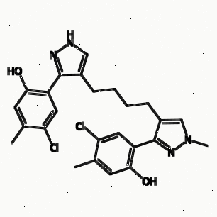 Cc1cc(O)c(-c2n[nH]cc2CCCCc2cn(C)nc2-c2cc(Cl)c(C)cc2O)cc1Cl